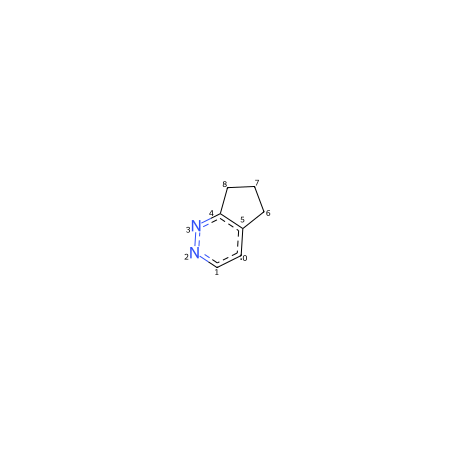 [c]1cnnc2c1CCC2